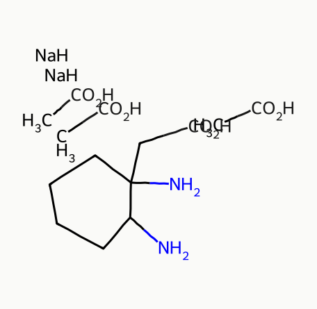 CC(=O)O.CC(=O)O.CC(=O)O.NC1CCCCC1(N)CC(=O)O.[NaH].[NaH]